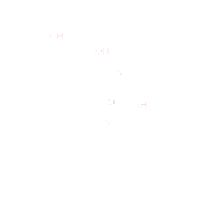 CCO[Si](O)(OCC)c1cccc(O)c1O